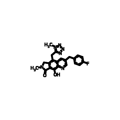 CN1Cc2c(c(O)c3ncc(Cc4ccc(F)cc4)cc3c2Cc2nnnn2C)C1=O